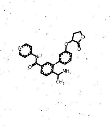 CC(N)c1ccc(C(=O)Nc2ccncc2)cc1-c1cccc(OC2CCOC2=O)c1